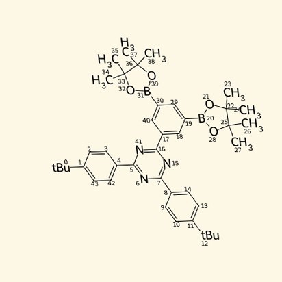 CC(C)(C)c1ccc(-c2nc(-c3ccc(C(C)(C)C)cc3)nc(-c3cc(B4OC(C)(C)C(C)(C)O4)cc(B4OC(C)(C)C(C)(C)O4)c3)n2)cc1